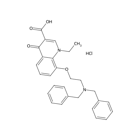 CCn1cc(C(=O)O)c(=O)c2cccc(OCCN(Cc3ccccc3)Cc3ccccc3)c21.Cl